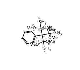 COC([SiH3])(OC)C(c1ccccc1)(C([SiH3])(OC)OC)C([SiH3])(OC)OC